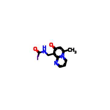 Cc1cc(=O)c(CNC(=O)I)c2ncccn12